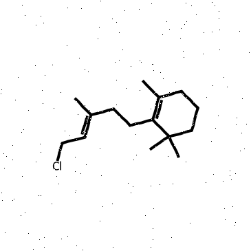 CC(=CCCl)CCC1=C(C)CCCC1(C)C